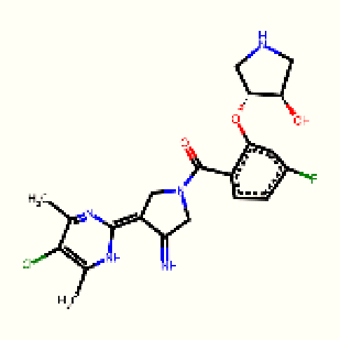 CC1=N/C(=C2\CN(C(=O)c3ccc(F)cc3O[C@@H]3CNC[C@H]3O)CC2=N)NC(C)=C1Cl